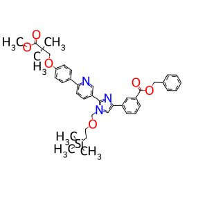 COC(=O)C(C)(C)COc1ccc(-c2ccc(-c3nc(-c4cccc(C(=O)OCc5ccccc5)c4)cn3COCC[Si](C)(C)C)cn2)cc1